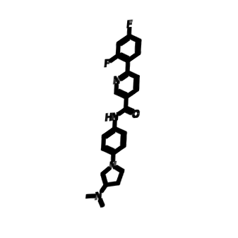 CN(C)C1CCN(c2ccc(NC(=O)c3ccc(-c4ccc(F)cc4F)nc3)cc2)C1